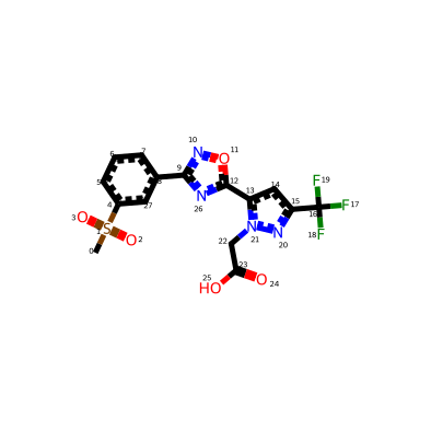 CS(=O)(=O)c1cccc(-c2noc(-c3cc(C(F)(F)F)nn3CC(=O)O)n2)c1